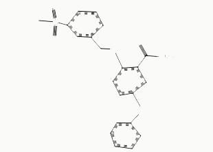 COC(=O)c1cc(Oc2ccccc2)ccc1OCc1cccc(S(C)(=O)=O)c1